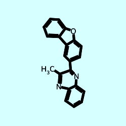 Cc1nc2ccccc2nc1-c1ccc2oc3ccccc3c2c1